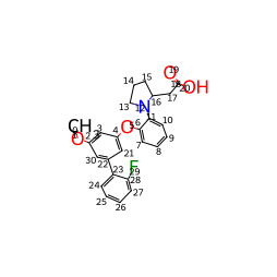 COc1cc(Oc2ccccc2N2CCCC2CC(=O)O)cc(-c2ccccc2F)c1